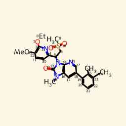 CCOc1nc(C(CS(C)(=O)=O)n2c(=O)n(C)c3cc(-c4cccc(C)c4C)cnc32)ccc1OC